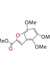 COC(=O)c1cc2c(OC)c(OC)cc(OC)c2o1